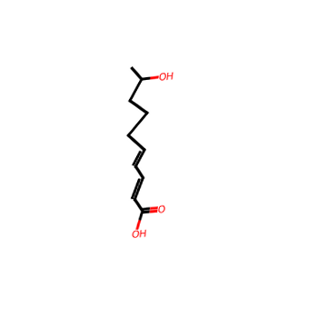 CC(O)CCC/C=C/C=C/C(=O)O